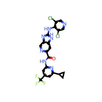 O=C(Nc1cc(C(F)(F)F)cc(C2CC2)n1)c1cc2[nH]c(Nc3c(Cl)cncc3Cl)nc2cn1